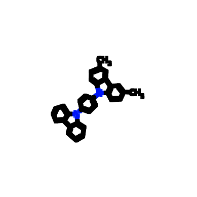 Cc1ccc2c(c1)c1cc(C)ccc1n2-c1ccc(-n2c3ccccc3c3ccccc32)cc1